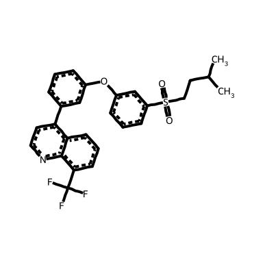 CC(C)CCS(=O)(=O)c1cccc(Oc2cccc(-c3ccnc4c(C(F)(F)F)cccc34)c2)c1